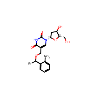 CC(C)C(OCc1cn([C@@H]2CC(O)[C@H](CO)O2)c(=O)[nH]c1=O)c1ccccc1[N+](=O)[O-]